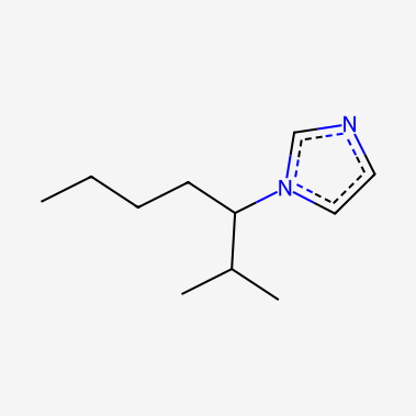 CCCCC(C(C)C)n1ccnc1